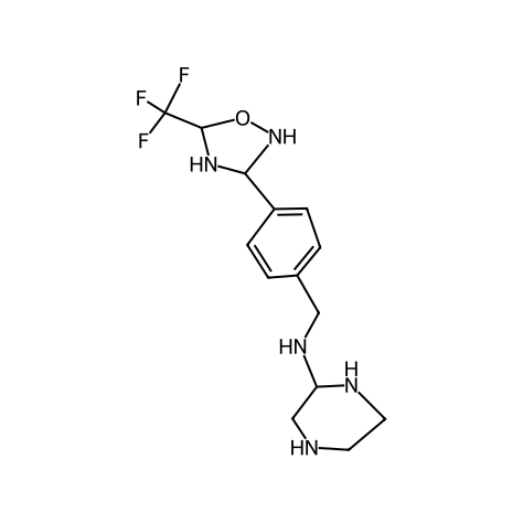 FC(F)(F)C1NC(c2ccc(CNC3CNCCN3)cc2)NO1